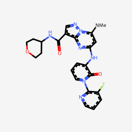 CNc1cc(Nc2cccn(-c3ncccc3F)c2=O)nc2c(C(=O)NC3CCOCC3)cnn12